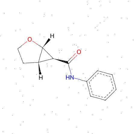 O=C(Nc1ccccc1)[C@H]1[C@@H]2CCO[C@@H]21